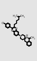 C=C(C)CCCCc1nc2cc(N3CCC4(CC3)Cc3ccccc3C(=C)N4)ccc2nc1-c1ccc(Cl)cc1